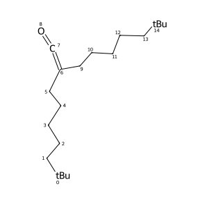 CC(C)(C)CCCCCC(=C=O)CCCCCC(C)(C)C